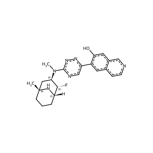 CN(c1ncc(-c2cc3ccncc3cc2O)nn1)[C@@H]1C[C@@]2(C)CCC[C@H](N2)[C@H]1F